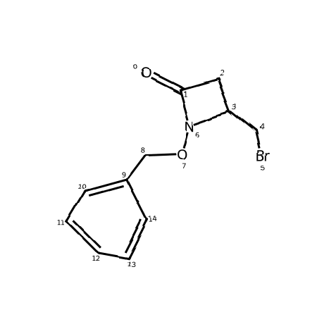 O=C1CC(CBr)N1OCc1ccccc1